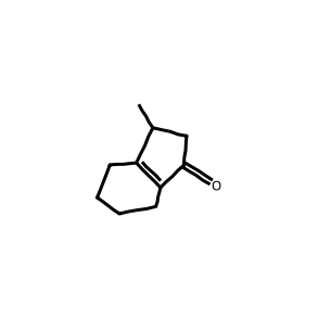 CC1CC(=O)C2=C1CCCC2